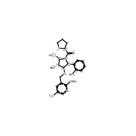 COc1ncc(C(F)(F)F)cc1CO[C@H]1[C@H](C(C)(C)C)[C@@H](C(=O)O)N(C(=O)[C@@H]2CCCO2)[C@H]1c1ccccc1C(C)C